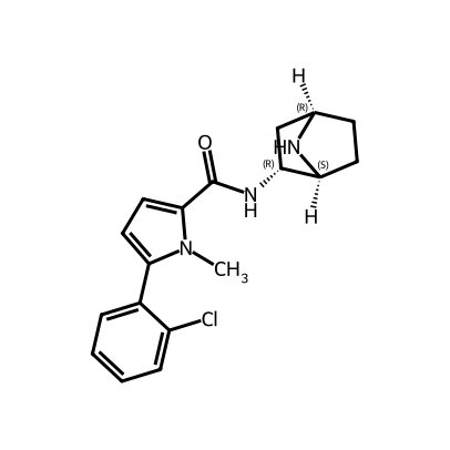 Cn1c(C(=O)N[C@@H]2C[C@H]3CC[C@@H]2N3)ccc1-c1ccccc1Cl